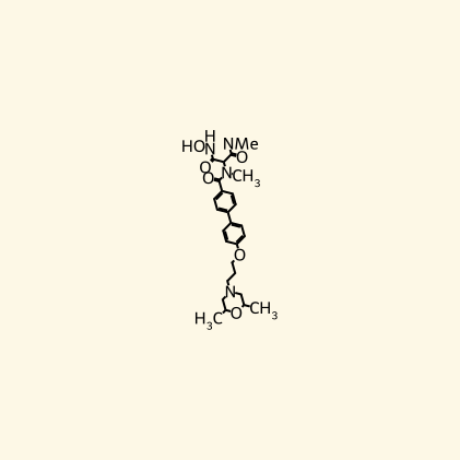 CNC(=O)C(C(=O)NO)N(C)C(=O)c1ccc(-c2ccc(OCCCN3CC(C)OC(C)C3)cc2)cc1